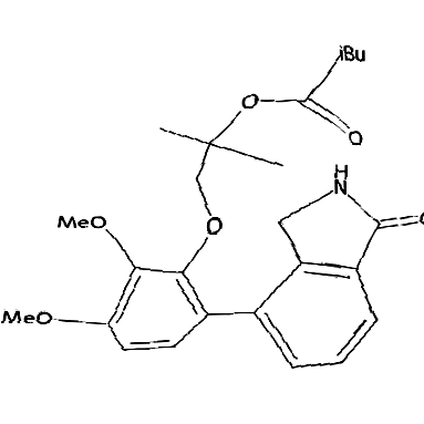 CCC(C)C(=O)OC(C)(C)COc1c(-c2cccc3c2CNC3=O)ccc(OC)c1OC